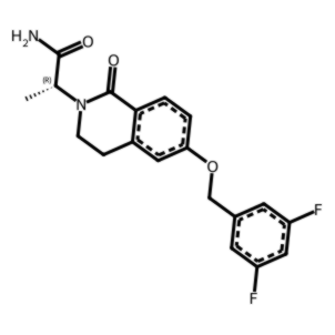 C[C@H](C(N)=O)N1CCc2cc(OCc3cc(F)cc(F)c3)ccc2C1=O